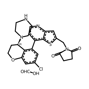 O=C1CCC(=O)N1Cc1cc2nccc(-c3cc(Cl)cc4c3[C@H](N3CCNCC3)CCO4)c2s1.O=CO